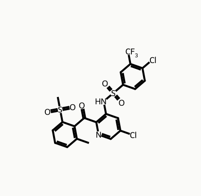 Cc1cccc(S(C)(=O)=O)c1C(=O)c1ncc(Cl)cc1NS(=O)(=O)c1ccc(Cl)c(C(F)(F)F)c1